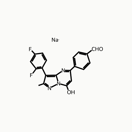 Cc1nn2c(O)cc(-c3ccc(C=O)cc3)nc2c1-c1ccc(F)cc1F.[Na]